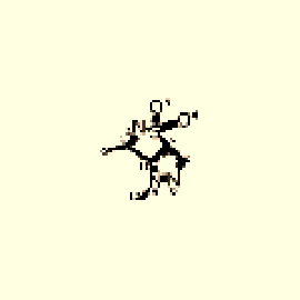 CC1=NS(=O)(=O)c2cnn(C)c21